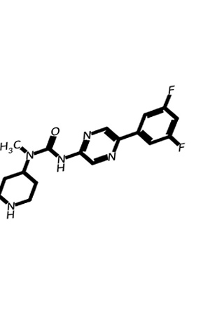 CN(C(=O)Nc1cnc(-c2cc(F)cc(F)c2)cn1)C1CCNCC1